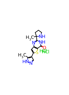 Cc1[nH]ncc1-c1cc2nc(C3(C)CCCN3)[nH]c(=O)c2s1.Cl.Cl